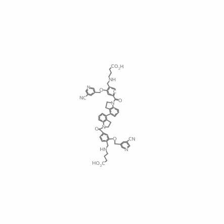 N#Cc1cncc(COc2cc(C(=O)N3CCc4c(-c5cccc6c5CCN6C(=O)c5ccc(CNCCCC(=O)O)c(OCc6cncc(C#N)c6)c5)cccc43)ccc2CNCCCC(=O)O)c1